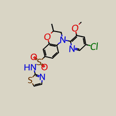 COc1cc(Cl)cnc1N1CC(C)Oc2cc(S(=O)(=O)Nc3nccs3)ccc21